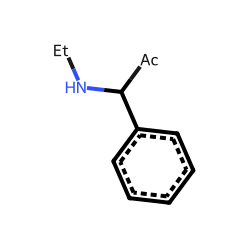 CCNC(C(C)=O)c1ccccc1